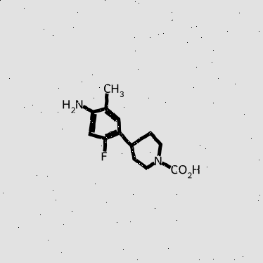 Cc1cc(C2CCN(C(=O)O)CC2)c(F)cc1N